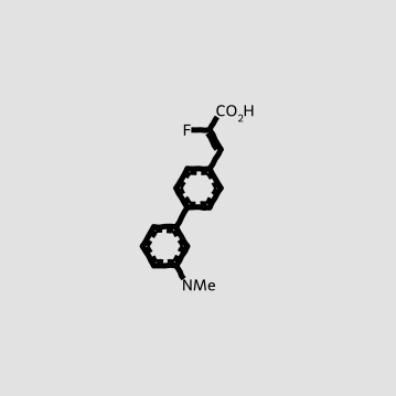 CNc1cccc(-c2ccc(/C=C(\F)C(=O)O)cc2)c1